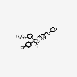 COc1cccc([C@H]2[C@H](Cn3cc(COC4CCOC4)nn3)OC(=O)N2c2ccc(Cl)cc2)c1